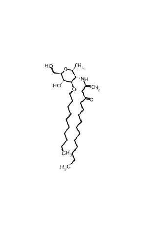 C=C(CC(=O)CCCCCCCCCCC)N[C@@H]1[C@@H](OCCCCCCCCCC)[C@H](O)[C@@H](CO)O[C@@H]1C